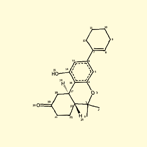 CC1(C)Oc2cc(C3=CCCCC3)cc(O)c2[C@@H]2CC(=O)CC[C@H]21